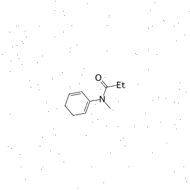 CCC(=O)N(C)C1=CCCC=C1